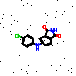 O=C1NC(=O)c2cc(Nc3ccc(Cl)cc3)ccc21